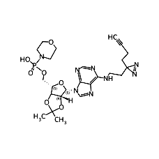 C#CCCC1(CCNc2ncnc3c2ncn3[C@H]2O[C@@H](COP(=O)(O)N3CCOCC3)C3OC(C)(C)O[C@H]32)N=N1